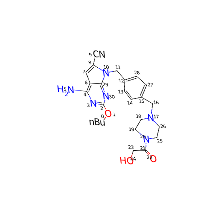 CCCCOc1nc(N)c2cc(C#N)n(Cc3ccc(CN4CCN(C(=O)CO)CC4)cc3)c2n1